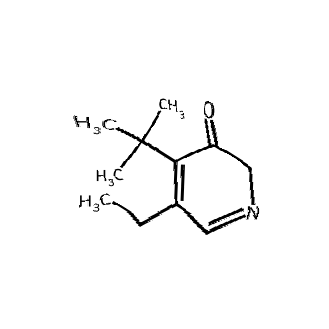 CCC1=C(C(C)(C)C)C(=O)CN=C1